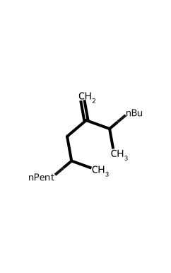 C=C(CC(C)CCCCC)C(C)CCCC